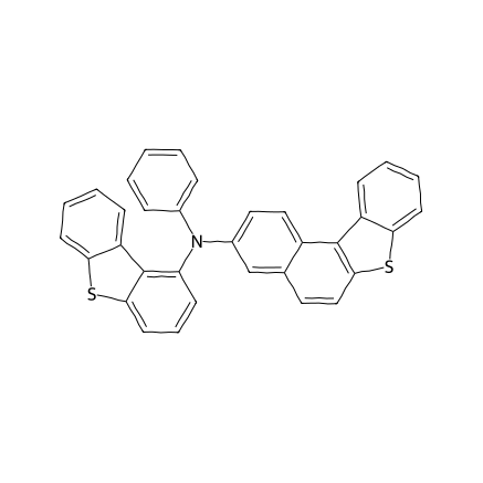 c1ccc(N(c2ccc3c(ccc4sc5ccccc5c43)c2)c2cccc3sc4ccccc4c23)cc1